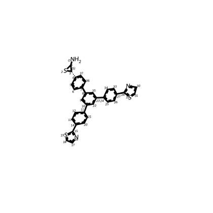 NC1S[C@H]1c1ccc(-c2cc(-c3ccc(-c4nccs4)cc3)cc(-c3ccc(-c4nccs4)cc3)c2)cc1